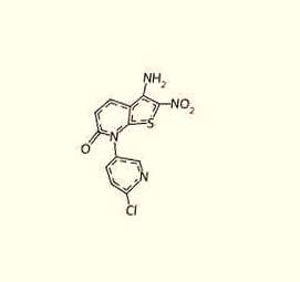 Nc1c([N+](=O)[O-])sc2c1ccc(=O)n2-c1ccc(Cl)nc1